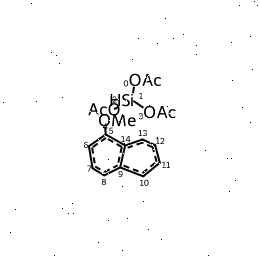 CC(=O)O[SiH](OC(C)=O)OC(C)=O.COc1cccc2ccccc12